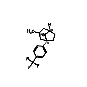 CC1C[C@H]2CC[C@@](c3ccc(C(F)(F)F)cc3)(C1)N2